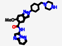 COc1cc2nn(C3CCC(CN4CCNCC4)CC3)cc2cc1C(=O)Nc1cnc2cccnn12